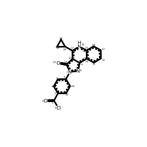 O=C(Cl)c1ccc(-n2nc3c4ccccc4[nH]c(C4CC4)c-3c2=O)cc1